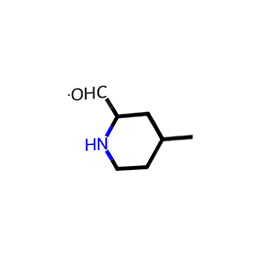 CC1CCNC([C]=O)C1